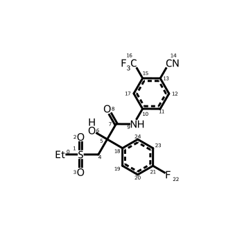 CCS(=O)(=O)CC(O)(C(=O)Nc1ccc(C#N)c(C(F)(F)F)c1)c1ccc(F)cc1